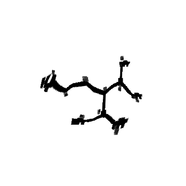 BCCC(N(CCC)CCC)N(CCC)CCC